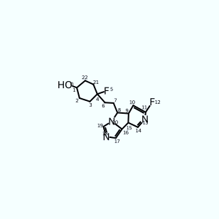 OC1CCC(F)(CCC2C3C=C(F)N=CC3c3cncn32)CC1